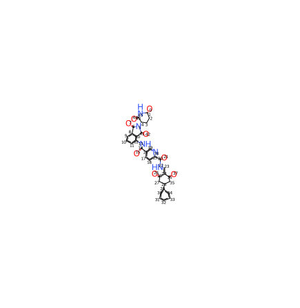 O=C1CCC(N2C(=O)c3cccc(NC(=O)c4ccc(C(=O)NC=C5C(=O)CC(c6ccccc6)CC5=O)nc4)c3C2=O)C(=O)N1